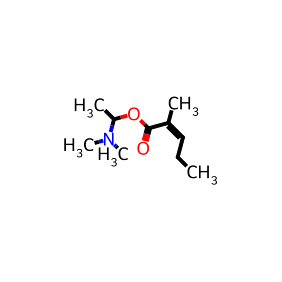 CCC=C(C)C(=O)OC(C)N(C)C